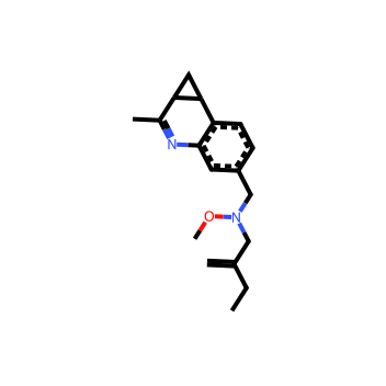 C=C(CC)CN(Cc1ccc2c(c1)N=C(C)C1CC21)OC